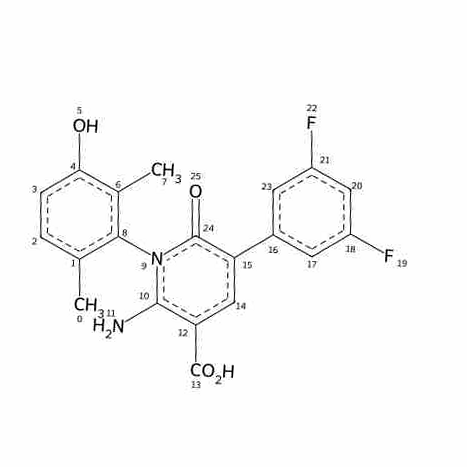 Cc1ccc(O)c(C)c1-n1c(N)c(C(=O)O)cc(-c2cc(F)cc(F)c2)c1=O